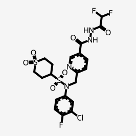 O=C(NNC(=O)C(F)F)c1ccc(CN(c2ccc(F)c(Cl)c2)S(=O)(=O)C2CCS(=O)(=O)CC2)nc1